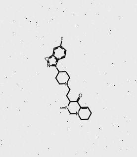 CN1CN2CCCC=C2C(=O)C1CCN1CCC(c2noc3cc(F)ccc23)CC1